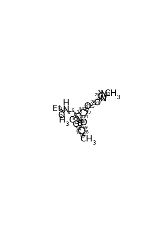 CCC(=O)NCCc1c(C)n(S(=O)(=O)c2ccc(C)cc2)c2ccc(OCCOc3ccn(C)n3)cc12